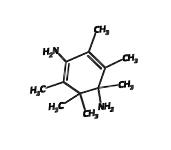 CC1=C(C)C(C)(N)C(C)(C)C(C)=C1N